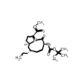 CCC[C@H]1CC[C@H](NC(=O)OC(C)(C)C)C(=O)N2[C@H](CC[C@H]2C(=O)OC)C1